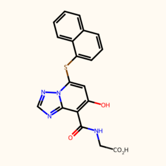 O=C(O)CNC(=O)c1c(O)cc(Sc2cccc3ccccc23)n2ncnc12